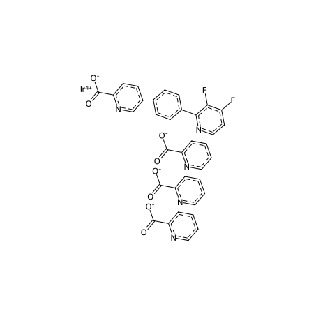 Fc1ccnc(-c2ccccc2)c1F.O=C([O-])c1ccccn1.O=C([O-])c1ccccn1.O=C([O-])c1ccccn1.O=C([O-])c1ccccn1.[Ir+4]